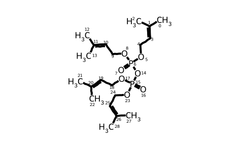 CC(C)=CCOP(=O)(OCC=C(C)C)OP(=O)(OCC=C(C)C)OCC=C(C)C